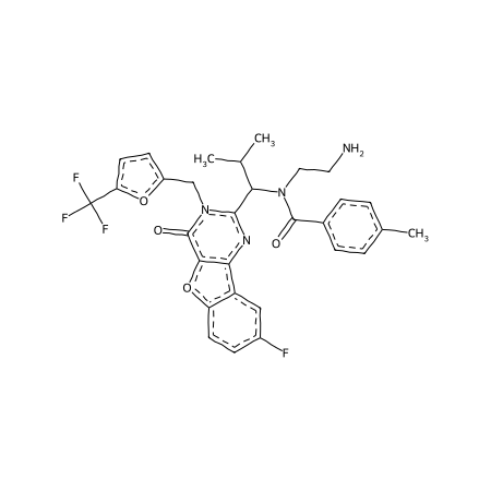 Cc1ccc(C(=O)N(CCN)C(c2nc3c(oc4ccc(F)cc43)c(=O)n2Cc2ccc(C(F)(F)F)o2)C(C)C)cc1